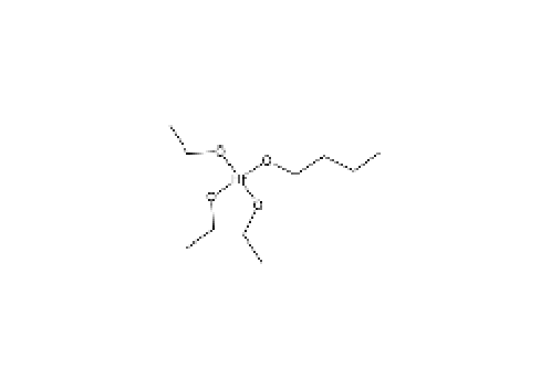 CCCC[O][Hf]([O]CC)([O]CC)[O]CC